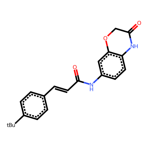 CC(C)(C)c1ccc(/C=C/C(=O)Nc2ccc3c(c2)OCC(=O)N3)cc1